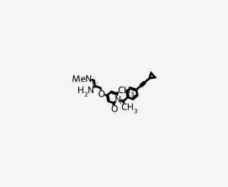 CN/C=C(\N)COc1cc(C)n([C@H](C)c2ccc(C#CC3CC3)cc2)c(=O)c1